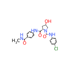 CNC(=O)c1ccc(NC(=O)[C@H]2C[C@@H](O)CN2C(=O)Nc2ccc(Cl)cc2)cc1